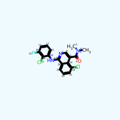 CN(C)C(=O)c1cnc(Nc2cccc(F)c2Cl)c2cccc(Cl)c12